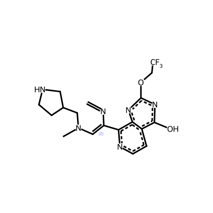 C=N/C(=C\N(C)CC1CCNC1)c1nccc2c(O)nc(OCC(F)(F)F)nc12